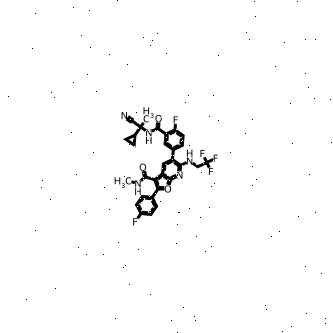 CNC(=O)c1c(-c2ccc(F)cc2)oc2nc(NCC(F)(F)F)c(-c3ccc(F)c(C(=O)NC(C)(C#N)C4CC4)c3)cc12